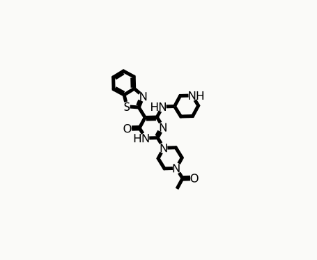 CC(=O)N1CCN(c2nc(NC3CCCNC3)c(-c3nc4ccccc4s3)c(=O)[nH]2)CC1